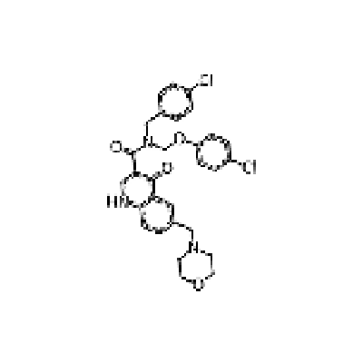 O=C(c1c[nH]c2ccc(CN3CCOCC3)cc2c1=O)N(COc1ccc(Cl)cc1)Cc1ccc(Cl)cc1